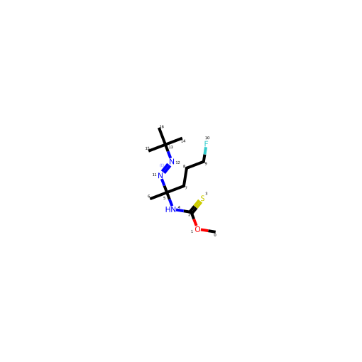 COC(=S)NC(C)(CCCF)/N=N/C(C)(C)C